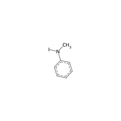 CN(I)c1ccccc1